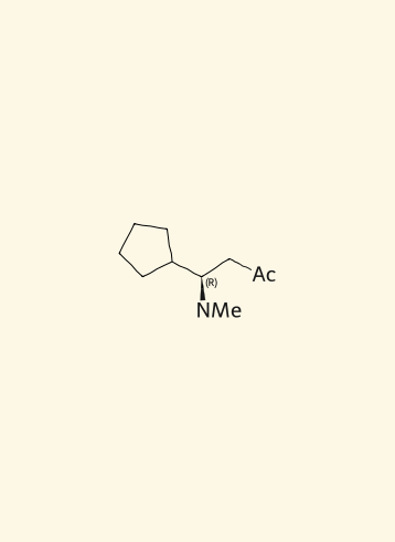 CN[C@H](CC(C)=O)C1CCCC1